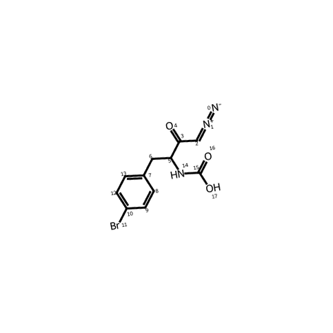 [N-]=[N+]=CC(=O)C(Cc1ccc(Br)cc1)NC(=O)O